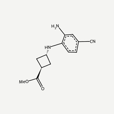 COC(=O)[C@H]1C[C@H](Nc2ccc(C#N)cc2N)C1